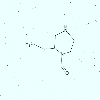 CCC1CNCCN1C=O